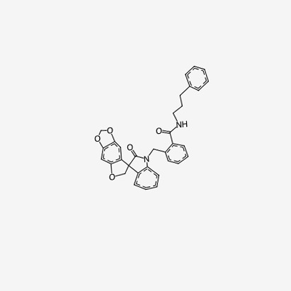 O=C(NCCCc1ccccc1)c1ccccc1CN1C(=O)C2(COc3cc4c(cc32)OCO4)c2ccccc21